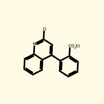 CCOC(=O)c1ccccc1-c1cc(Cl)nc2ccccc12